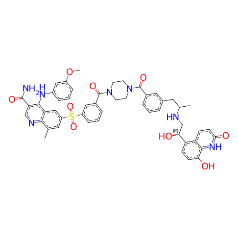 COc1cccc(Nc2c(C(N)=O)cnc3c(C)cc(S(=O)(=O)c4cccc(C(=O)N5CCN(C(=O)c6cccc(CC(C)NC[C@H](O)c7ccc(O)c8[nH]c(=O)ccc78)c6)CC5)c4)cc23)c1